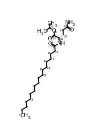 CCCCCCCCCCCCCCCCCC(=O)N[C@@H](CCC(N)=O)C(=O)OC(C)C